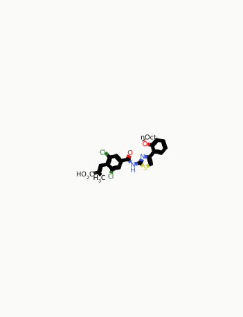 CCCCCCCCOc1ccccc1-c1csc(NC(=O)c2cc(Cl)c(/C=C(\C)C(=O)O)c(Cl)c2)n1